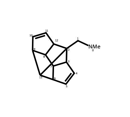 CNCC12C3C=CC4C3C3C(C=CC31)C42